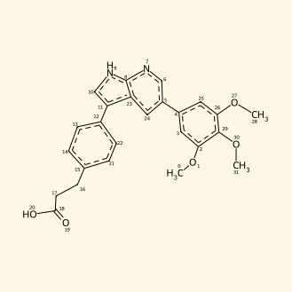 COc1cc(-c2cnc3[nH]cc(-c4ccc(CCC(=O)O)cc4)c3c2)cc(OC)c1OC